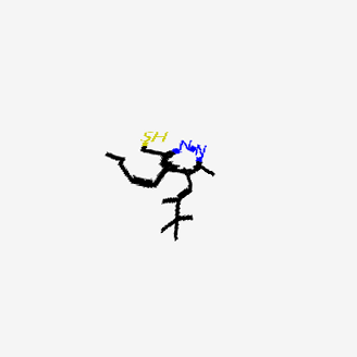 CC/C=C\c1c(CS)nnc(C)c1/C=C(\C)C(C)(C)C